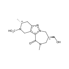 C[C@@H]1Cc2nn3c(c2CN1C(=O)O)C(=O)N(C)C[C@H](CO)C3